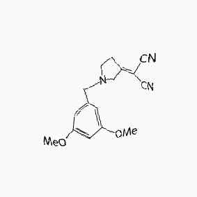 COc1cc(CN2CCC(=C(C#N)C#N)C2)cc(OC)c1